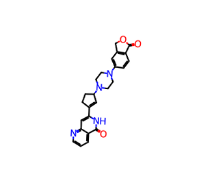 O=C1OCc2cc(N3CCN([C@H]4C=C(c5cc6ncccc6c(=O)[nH]5)CC4)CC3)ccc21